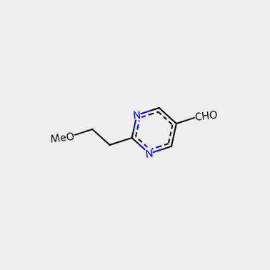 COCCc1ncc(C=O)cn1